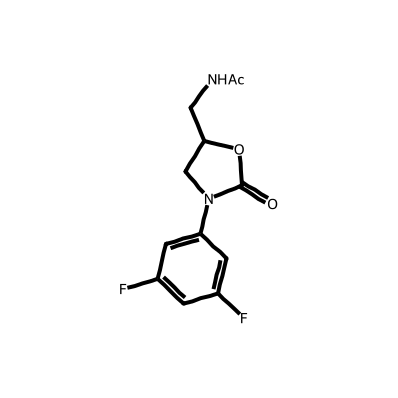 CC(=O)NCC1CN(c2cc(F)cc(F)c2)C(=O)O1